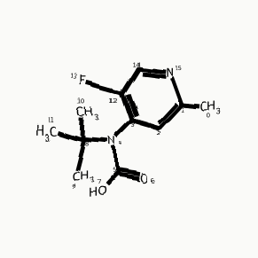 Cc1cc(N(C(=O)O)C(C)(C)C)c(F)cn1